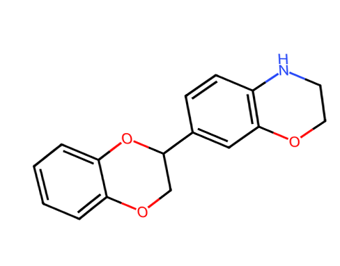 c1ccc2c(c1)OCC(c1ccc3c(c1)OCCN3)O2